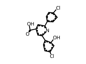 O=C(O)c1cc(-c2ccc(Cl)cc2)nc(-c2ccc(Cl)cc2O)c1